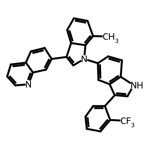 Cc1cccc2c(-c3ccc4cccnc4c3)cn(-c3ccc4[nH]cc(-c5ccccc5C(F)(F)F)c4c3)c12